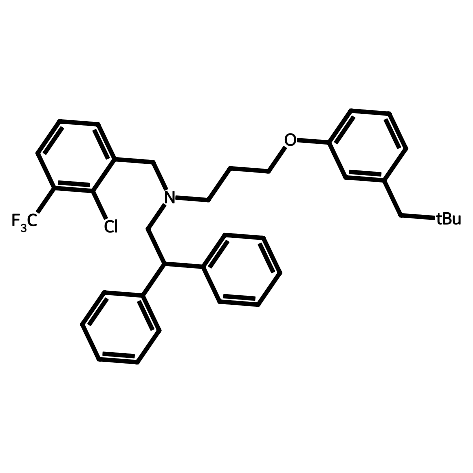 CC(C)(C)Cc1cccc(OCCCN(Cc2cccc(C(F)(F)F)c2Cl)CC(c2ccccc2)c2ccccc2)c1